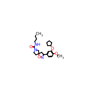 CCCCNC(=O)N1CCC2(CC(c3ccc(OC)c(OC4CCCC4)c3)=NO2)C1